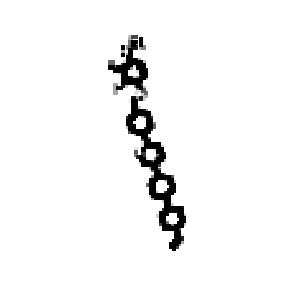 C=CC1CCC(C2CCC(C3CCC(C4CCC(COc5ccc(OCC)c(F)c5F)CC4)OC3)CC2)CC1